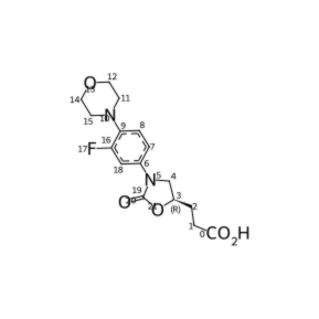 O=C(O)CC[C@@H]1CN(c2ccc(N3CCOCC3)c(F)c2)C(=O)O1